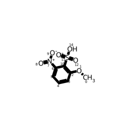 COc1cccc([N+](=O)[O-])c1S(=O)(=O)O